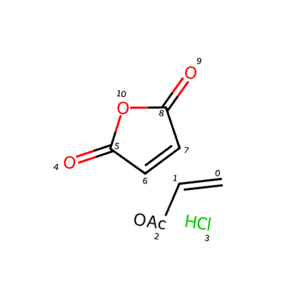 C=COC(C)=O.Cl.O=C1C=CC(=O)O1